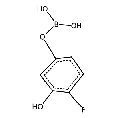 OB(O)Oc1ccc(F)c(O)c1